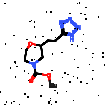 CC(C)(C)OC(=O)N1CCOC(CCc2nnn[nH]2)C1